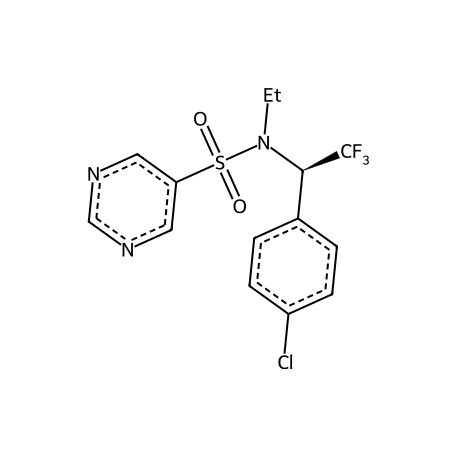 CCN([C@H](c1ccc(Cl)cc1)C(F)(F)F)S(=O)(=O)c1cncnc1